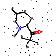 CC1CCC(C(=O)C(C)(C)C)N(C)C1